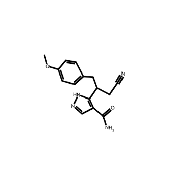 COc1ccc(CC(CC#N)c2[nH]ncc2C(N)=O)cc1